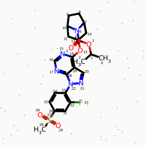 CC(C)OC(=O)N1C2CCC1CC(Oc1ncnc3c1cnn3-c1ccc(S(C)(=O)=O)cc1F)C2